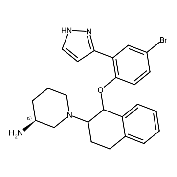 N[C@H]1CCCN(C2CCc3ccccc3C2Oc2ccc(Br)cc2-c2cc[nH]n2)C1